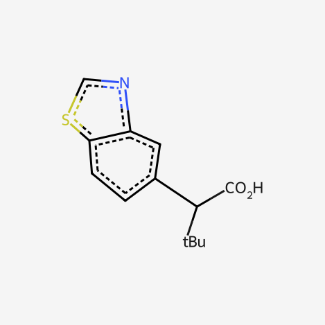 CC(C)(C)C(C(=O)O)c1ccc2scnc2c1